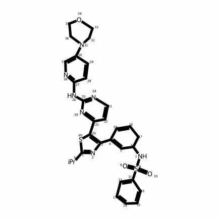 CC(C)c1nc(C2=CC(NS(=O)(=O)c3ccccc3)CC=C2)c(-c2ccnc(Nc3ccc(N4CCOCC4)cn3)n2)s1